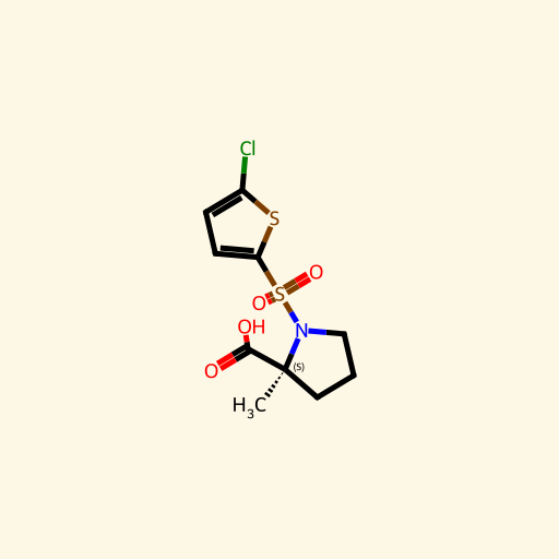 C[C@@]1(C(=O)O)CCCN1S(=O)(=O)c1ccc(Cl)s1